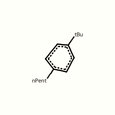 [CH2]CCCCc1ccc(C(C)(C)C)cc1